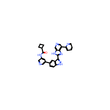 O=C(Nc1cncc(-c2ccc3[nH]nc(-c4nc5c(-c6ccccn6)cncc5[nH]4)c3c2)c1)C1CCC1